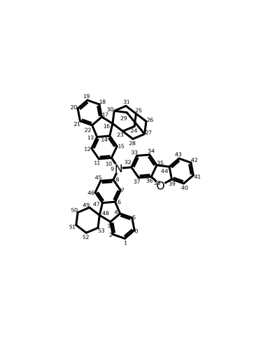 c1ccc2c(c1)-c1cc(N(c3ccc4c(c3)C3(c5ccccc5-4)C4CC5CC(C4)CC3C5)c3ccc4c(c3)oc3ccccc34)ccc1C21CCCCC1